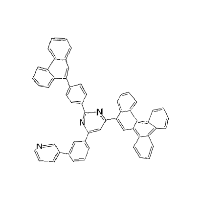 c1cncc(-c2cccc(-c3cc(-c4cc5c6ccccc6c6ccccc6c5c5ccccc45)nc(-c4ccc(-c5cc6ccccc6c6ccccc56)cc4)n3)c2)c1